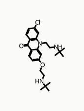 CC(C)(C)NCCOc1ccc2c(=O)c3ccc(Cl)cc3n(CCNC(C)(C)C)c2c1